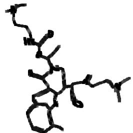 Cc1cccc2cc3c(=O)n(C(C)OC(=O)NCCN(C)C)cc(C(=O)NCCN(C)C)c3nc12